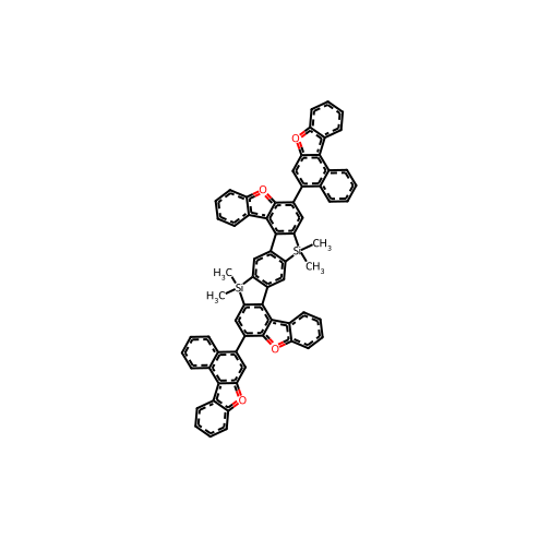 C[Si]1(C)c2cc3c(cc2-c2c1cc(-c1cc4oc5ccccc5c4c4ccccc14)c1oc4ccccc4c21)[Si](C)(C)c1cc(-c2cc4oc5ccccc5c4c4ccccc24)c2oc4ccccc4c2c1-3